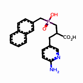 Nc1ccc(CC(CP(=O)(O)Cc2ccc3ccccc3c2)C(=O)O)cn1